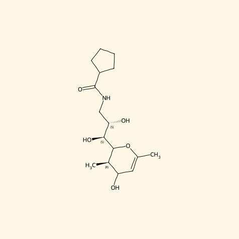 CC1=CC(O)[C@@H](C)C([C@@H](O)[C@@H](O)CNC(=O)C2CCCC2)O1